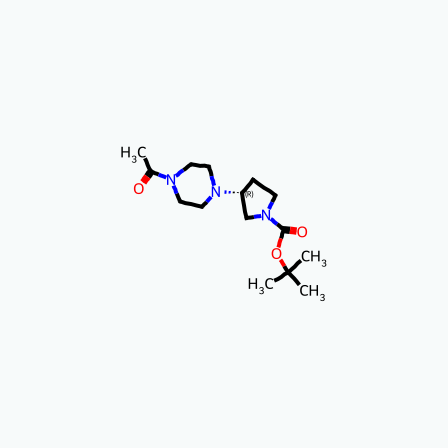 CC(=O)N1CCN([C@@H]2CCN(C(=O)OC(C)(C)C)C2)CC1